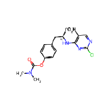 CN(C)C(=O)Oc1ccc(C[C@H](Nc2nc(Cl)ncc2[N+](=O)[O-])C(=O)O)cc1